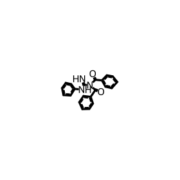 N=C(Nc1ccccc1)N(C(=O)c1ccccc1)C(=O)c1ccccc1